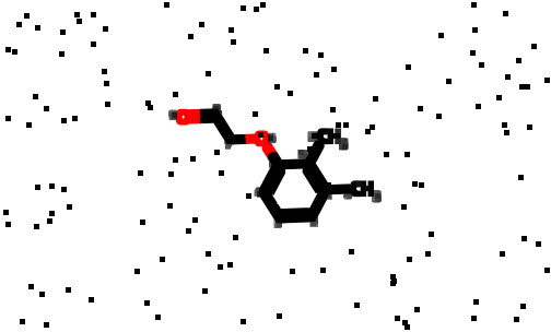 Cc1cccc(OC[C]=O)c1C